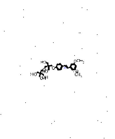 COc1cc(/C=C/c2ccc(OCC(CO)(CO)COCC(CO)(CO)CO)cc2)cc(OC)c1